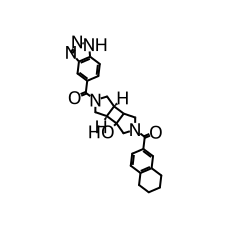 O=C(c1ccc2[nH]nnc2c1)N1C[C@@H]2C3CN(C(=O)c4ccc5c(c4)CCCC5)CC3(O)[C@@H]2C1